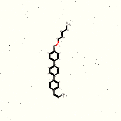 C/C=C\c1ccc(-c2ccc(-c3ccc(COC/C=C/CC)cc3)cc2)cc1